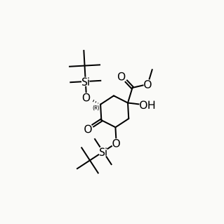 COC(=O)C1(O)CC(O[Si](C)(C)C(C)(C)C)C(=O)[C@H](O[Si](C)(C)C(C)(C)C)C1